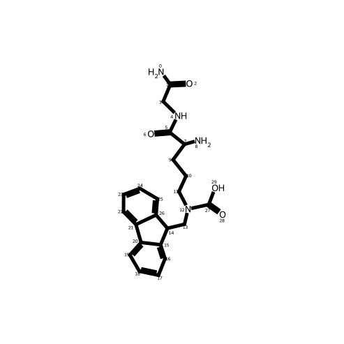 NC(=O)CNC(=O)C(N)CCCN(CC1c2ccccc2-c2ccccc21)C(=O)O